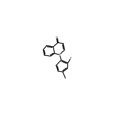 Cc1ccc(-n2ccc(=O)c3ccccc32)c(F)c1